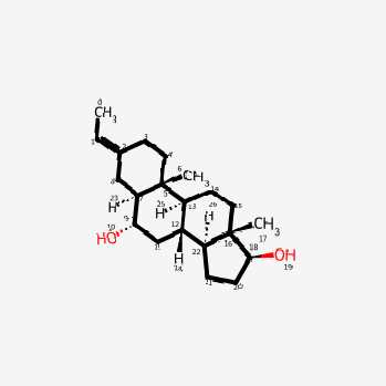 C/C=C1\CC[C@@]2(C)[C@H](C1)[C@@H](O)C[C@@H]1[C@@H]2CC[C@]2(C)[C@@H](O)CC[C@@H]12